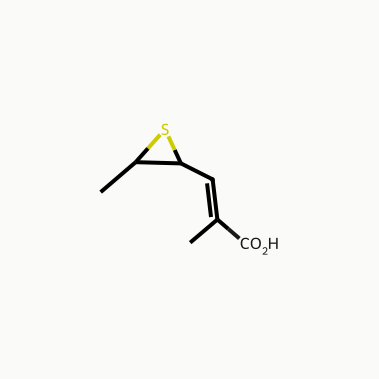 CC(=CC1SC1C)C(=O)O